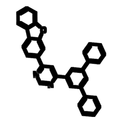 c1ccc(-c2cc(-c3ccccc3)cc(-c3cc(-c4ccc5c(c4)oc4ccccc45)ncn3)c2)cc1